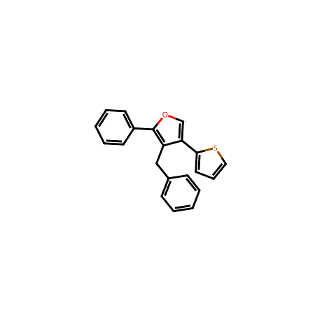 [c]1oc(-c2ccccc2)c(Cc2ccccc2)c1-c1cccs1